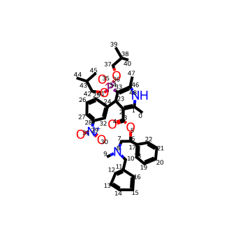 CC1=C(C(=O)OC(CN(C)Cc2ccccc2)c2ccccc2)C(c2cccc([N+](=O)[O-])c2)C(P(=O)(OCC(C)C)OCC(C)C)=C(C)N1